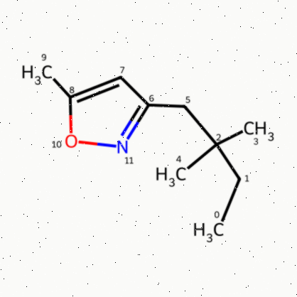 CCC(C)(C)Cc1cc(C)on1